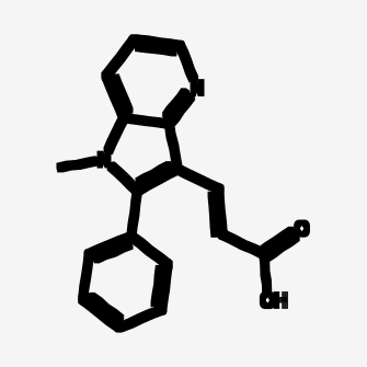 Cn1c(-c2ccccc2)c(C=CC(=O)O)c2ncccc21